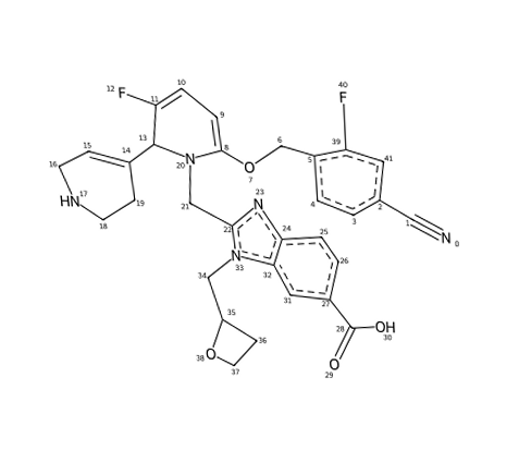 N#Cc1ccc(COC2=CC=C(F)C(C3=CCNCC3)N2Cc2nc3ccc(C(=O)O)cc3n2CC2CCO2)c(F)c1